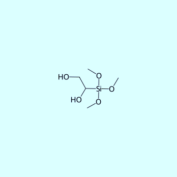 CO[Si](OC)(OC)C(O)CO